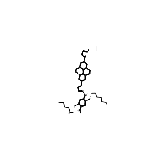 CCCCCCCCCCCCCCC(CCCCCCCCCC)CN1C(=O)c2cc3c(cc2=C1C)C(=O)N(CC(CCCCCCCCCC)CCCCCCCCCCCCCC)C=3c1ccc(-c2cc3ccc4cc(-c5ccc(C)s5)cc5ccc(c2)c3c45)s1